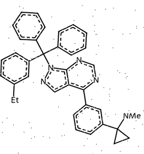 CCc1cccc(C(c2ccccc2)(c2ccccc2)n2ncc3c(-c4cccc(C5(NC)CC5)c4)ncnc32)c1